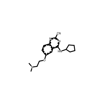 CN(C)CCOc1ccc2nc(C#N)nc(NC3CCCC3)c2c1